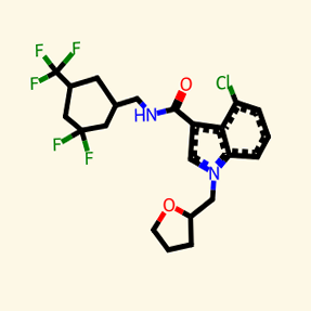 O=C(NCC1CC(C(F)(F)F)CC(F)(F)C1)c1cn(CC2CCCO2)c2cccc(Cl)c12